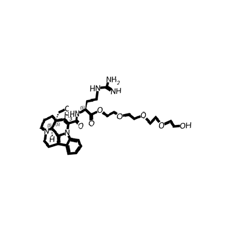 CC[C@@]12C=C(C(=O)N[C@@H](CCNC(=N)N)C(=O)OCCOCCOCCOCCO)n3c4c(c5ccccc53)CCN(CCC1)[C@H]42